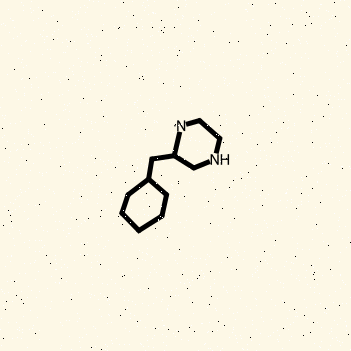 C1CCC(CC2CNCC[N]2)CC1